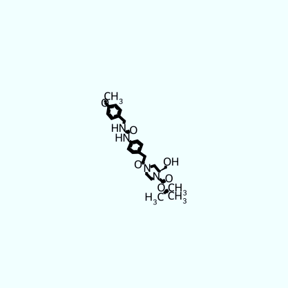 COc1ccc(CNC(=O)Nc2ccc(CC(=O)N3CCN(C(=O)OC(C)(C)C)[C@H](CO)C3)cc2)cc1